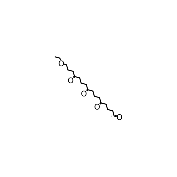 CCOCCCC(=O)CCCC(=O)CCCC(=O)CCC[C]=O